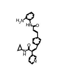 Nc1ccccc1NC(=O)C=Cc1ccc(C=C(C(=O)NC2CC2)c2cccnc2)cc1